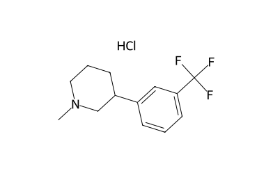 CN1CCCC(c2cccc(C(F)(F)F)c2)C1.Cl